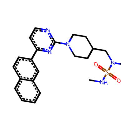 CNS(=O)(=O)N(C)CC1CCN(c2nccc(-c3ccc4ccccc4c3)n2)CC1